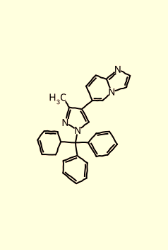 Cc1nn(C(c2ccccc2)(c2ccccc2)C2C=CC=CC2)cc1-c1ccc2nccn2c1